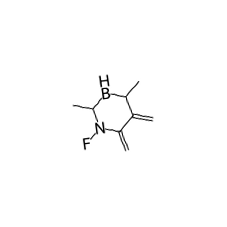 C=C1C(=C)N(F)C(C)BC1C